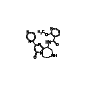 COc1ncccc1C(=O)NC1CNCCn2c1nc(-c1ccncn1)cc2=O